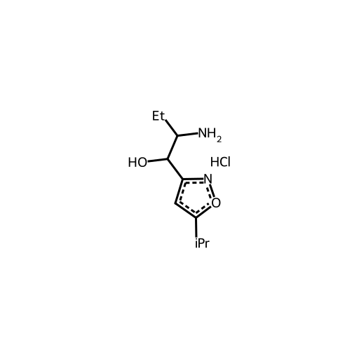 CCC(N)C(O)c1cc(C(C)C)on1.Cl